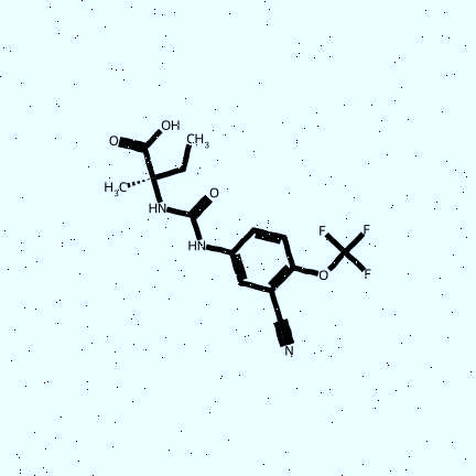 CC[C@@](C)(NC(=O)Nc1ccc(OC(F)(F)F)c(C#N)c1)C(=O)O